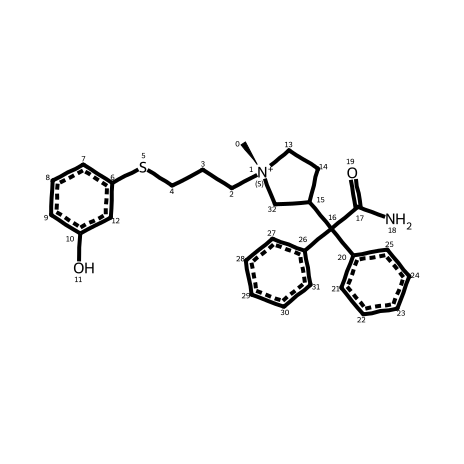 C[N@@+]1(CCCSc2cccc(O)c2)CCC(C(C(N)=O)(c2ccccc2)c2ccccc2)C1